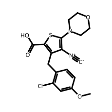 [C-]#[N+]c1c(N2CCOCC2)sc(C(=O)O)c1Cc1ccc(OC)cc1Cl